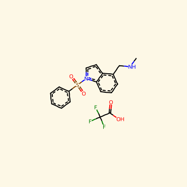 CNCc1cccc2c1ccn2S(=O)(=O)c1ccccc1.O=C(O)C(F)(F)F